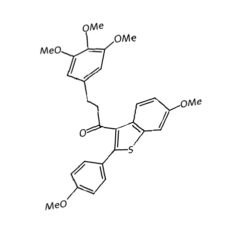 COc1ccc(-c2sc3cc(OC)ccc3c2C(=O)CCc2cc(OC)c(OC)c(OC)c2)cc1